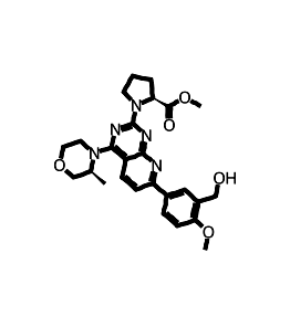 COC(=O)[C@@H]1CCCN1c1nc(N2CCOC[C@@H]2C)c2ccc(-c3ccc(OC)c(CO)c3)nc2n1